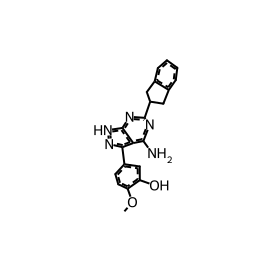 COc1ccc(-c2n[nH]c3nc(C4Cc5ccccc5C4)nc(N)c23)cc1O